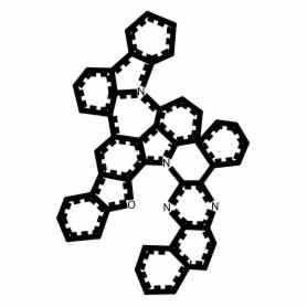 c1ccc(-c2nc3ccc4ccccc4c3nc2-n2c3cccc4c3c3c(cc5c6ccccc6oc5c32)c2cccc3c5ccccc5n4c23)cc1